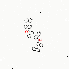 O=C(c1ccc(-c2cccc3ccccc23)c2ccccc12)c1ccc(-c2ccc(C(=O)c3ccc(-c4cccc5ccccc45)c4ccccc34)c3ccccc23)c2ccccc12